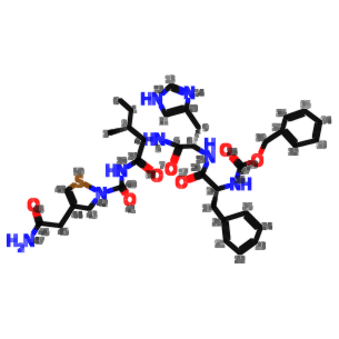 CC[C@H](C)[C@H](NC(=O)[C@H](Cc1c[nH]cn1)NC(=O)[C@H](Cc1ccccc1)NC(=O)OCc1ccccc1)C(=O)NC(=O)N1CC(CC(N)=O)=CS1